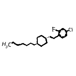 CCCCCCC[C@H]1CC[C@H](CCc2ccc(Cl)cc2F)CC1